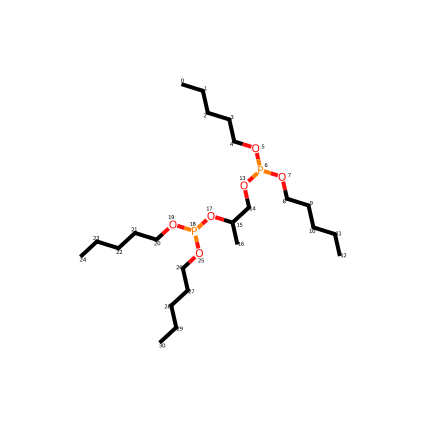 CCCCCOP(OCCCCC)OCC(C)OP(OCCCCC)OCCCCC